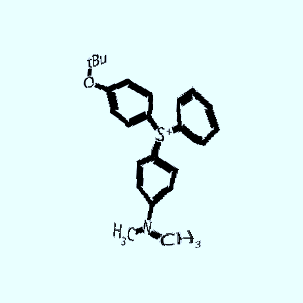 CN(C)c1ccc([S+](c2ccccc2)c2ccc(OC(C)(C)C)cc2)cc1